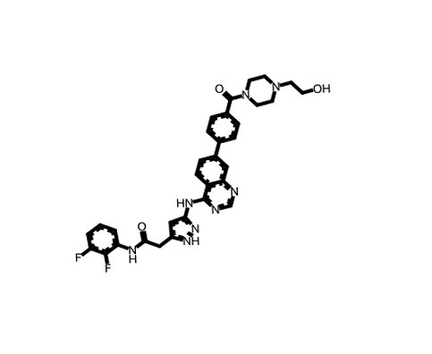 O=C(Cc1cc(Nc2ncnc3cc(-c4ccc(C(=O)N5CCN(CCO)CC5)cc4)ccc23)n[nH]1)Nc1cccc(F)c1F